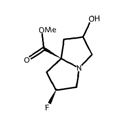 COC(=O)[C@@]12CC(O)CN1C[C@@H](F)C2